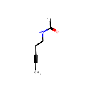 [3H]C(=O)NCCC#CC